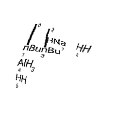 CCCCC.CCCCC.[AlH3].[HH].[HH].[NaH]